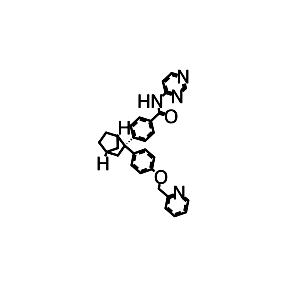 O=C(Nc1ccncn1)c1ccc([C@]2(c3ccc(OCc4ccccn4)cc3)C[C@@H]3CC[C@H]2C3)cc1